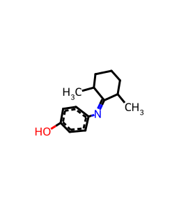 CC1CCCC(C)C1=Nc1ccc(O)cc1